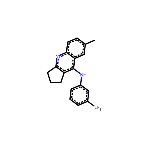 Cc1ccc2nc3c(c(Nc4cccc(C(F)(F)F)c4)c2c1)CCC3